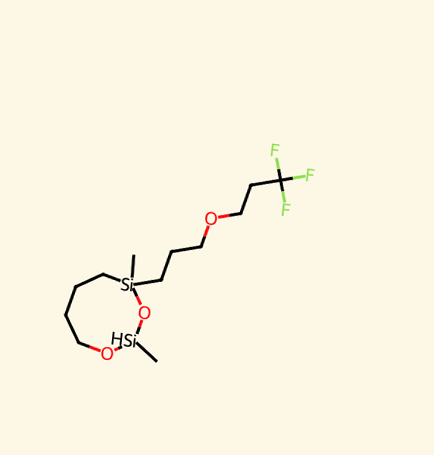 C[SiH]1OCCCC[Si](C)(CCCOCCC(F)(F)F)O1